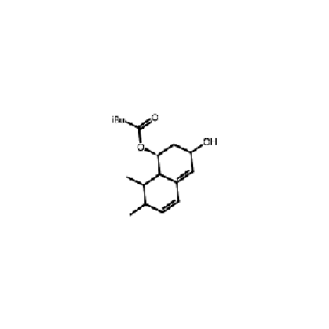 CCC(C)C(=O)O[C@H]1CC(O)C=C2C=CC(C)C(C)C21